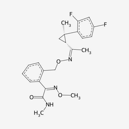 CNC(=O)C(=NOC)c1ccccc1CON=C(C)[C@@H]1C[C@@]1(C)c1ccc(F)cc1F